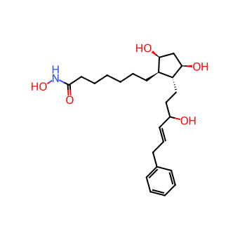 O=C(CCCCCC[C@@H]1[C@@H](CCC(O)C=CCc2ccccc2)[C@H](O)C[C@@H]1O)NO